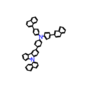 c1ccc2cc(-c3ccc(N(c4ccc(-c5ccc6c(c5)c5ccccc5n6-c5cccc6ccccc56)cc4)c4ccc(-c5cccc6ccccc56)cc4)cc3)ccc2c1